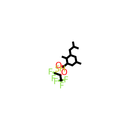 CC(C)CC1CC(C)CC(C(=O)OC(C(F)(F)F)C(F)(F)S)C1C